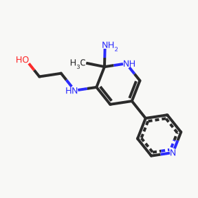 CC1(N)NC=C(c2ccncc2)C=C1NCCO